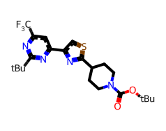 CC(C)(C)OC(=O)N1CCC(c2nc(-c3cc(C(F)(F)F)nc(C(C)(C)C)n3)cs2)CC1